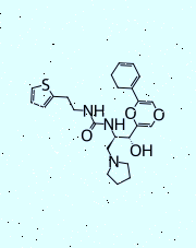 O=C(NCCc1cccs1)N[C@H](CN1CCCC1)[C@@H](O)C1=COC=C(C2=CC=CCC2)O1